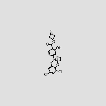 CN1CC(OC(=O)c2ccc(N3Cc4cc(Cl)cc(Cl)c4OC34CCC4)cc2O)C1